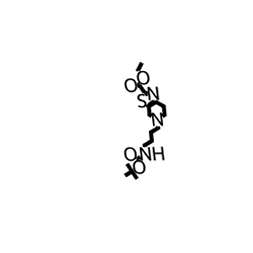 CCOC(=O)c1nc2c(s1)CN(CCCCNC(=O)OC(C)(C)C)CC2